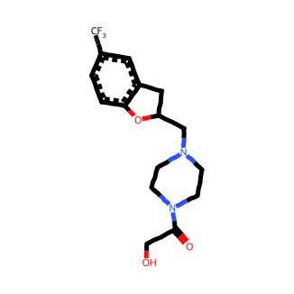 O=C(CO)N1CCN(CC2Cc3cc(C(F)(F)F)ccc3O2)CC1